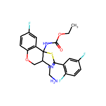 CCOC(=O)NC1(SC(=N)c2cc(F)ccc2F)c2cc(F)ccc2OCC1CCN